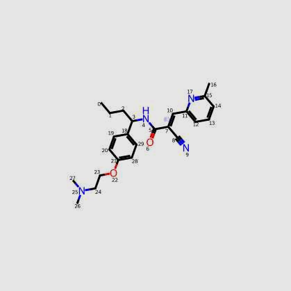 CCCC(NC(=O)/C(C#N)=C/c1cccc(C)n1)c1ccc(OCCN(C)C)cc1